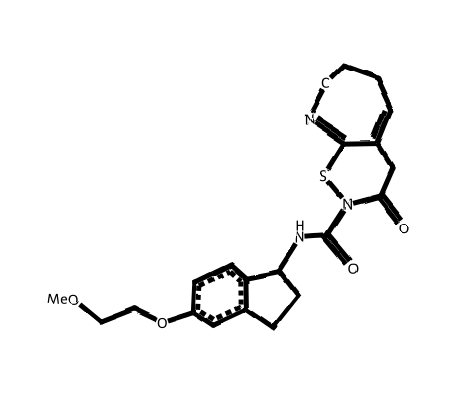 COCCOc1ccc2c(c1)CCC2NC(=O)N1SC2=NCCCC=C2CC1=O